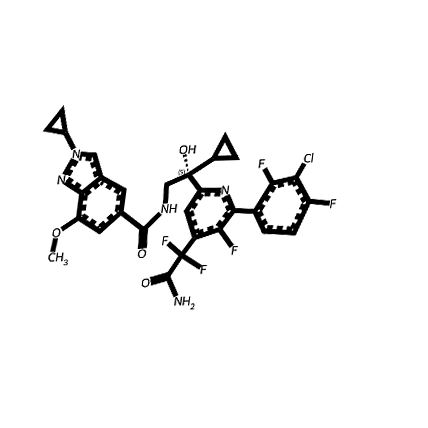 COc1cc(C(=O)NC[C@](O)(c2cc(C(F)(F)C(N)=O)c(F)c(-c3ccc(F)c(Cl)c3F)n2)C2CC2)cc2cn(C3CC3)nc12